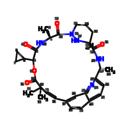 C[C@@H]1NC(=O)C(C2CC2)OC(=O)C(C)(C)/C=C/c2ccc3ccc(nc3c2)[C@@H](C)NC(=O)[C@@H]2CCCN(N2)C1=O